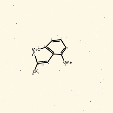 COc1cccc(OC)c1/C=C(\Cl)C(F)(F)F